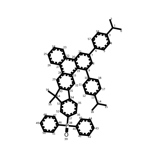 CC(C)c1ccc(-c2cc(-c3ccc(C(C)C)cc3)c3c(c2)c2ccccc2c2cc4c(cc23)-c2ccc(P(=O)(c3ccccc3)c3ccccc3)cc2C4(C)C)cc1